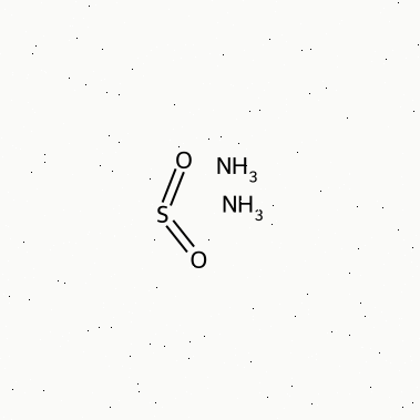 N.N.O=S=O